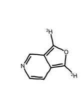 [2H]c1oc([2H])c2cnccc12